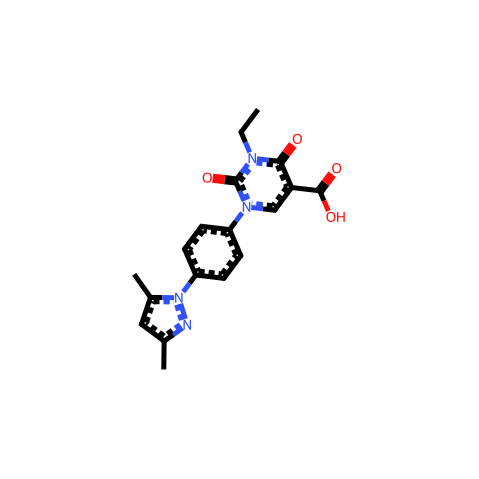 CCn1c(=O)c(C(=O)O)cn(-c2ccc(-n3nc(C)cc3C)cc2)c1=O